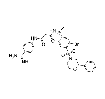 C[C@H](NC(=O)CC(=O)Nc1ccc(C(=N)N)cc1)c1ccc(S(=O)(=O)N2CCOC(c3ccccc3)C2)c(Br)c1